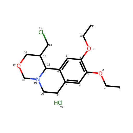 CCOc1cc2c(cc1OCC)C1C(CCl)COCN1CC2.Cl